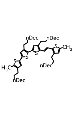 CCCCCCCCCCCCc1cc(-c2cc(CCCCCCCCCCCC)c(-c3cc(CCCCCCCCCCCC)c(/C=C/c4sc(C)cc4CCCCCCCCCCCC)s3)s2)sc1C